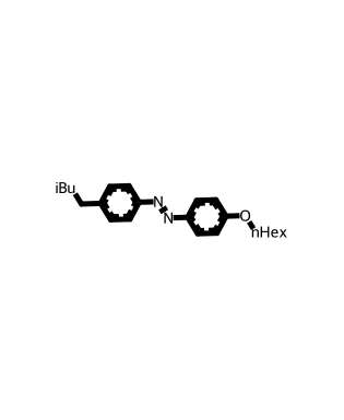 CCCCCCOc1ccc(/N=N/c2ccc(CC(C)CC)cc2)cc1